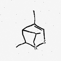 CC1=CSN2C(C)C1C2C